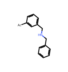 CC(=O)c1cccc(CNCc2ccccc2)c1